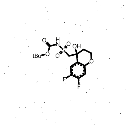 CC(C)(C)OC(=O)NS(=O)(=O)CC1(O)CCOc2cc(F)c(F)cc21